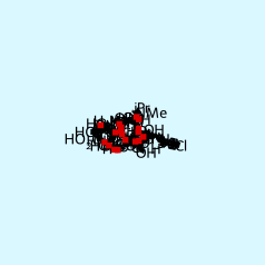 CN[C@H](CC(C)C)C(=O)NC1C(=O)N[C@@H](CC(N)=O)C(=O)N[C@H]2C(=O)N[C@H]3C(=O)N[C@H](C(=O)NC(C(=O)O)c4cc(O)cc(O)c4-c4cc3ccc4O)[C@H](O)c3ccc(c(Cl)c3)Oc3cc2cc(c3O[C@@H]2O[C@H](CO)[C@@H](O[C@@H]3O[C@H](CNCc4nc(-c5ccc(Cl)cc5)cs4)[C@H](O)[C@H](O)[C@H]3O)[C@H](O)[C@H]2O)Oc2ccc(cc2Cl)[C@H]1O